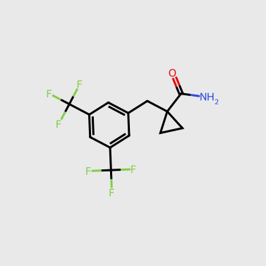 NC(=O)C1(Cc2cc(C(F)(F)F)cc(C(F)(F)F)c2)CC1